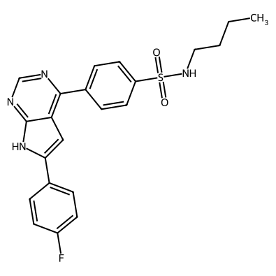 CCCCNS(=O)(=O)c1ccc(-c2ncnc3[nH]c(-c4ccc(F)cc4)cc23)cc1